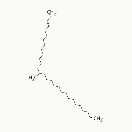 [CH2]CC=CCCCCCCCCCC(C)CCCCCCCCCCCCCC[CH2]